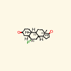 C[C@]12CC[C@@H]3[C@H]4CCC(=O)C[C@@H]4[C@H](F)C[C@H]3[C@@H]1CCC2=O